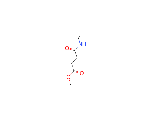 [CH2]NC(=O)CCC(=O)OC